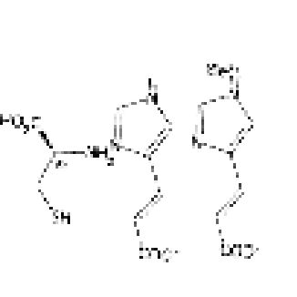 N[C@@H](CS)C(=O)O.O=C([O-])C=Cc1c[nH]cn1.O=C([O-])C=Cc1c[nH]cn1.[Se+2]